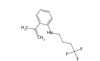 C=C(C)c1ccccc1NCCCC(F)(F)F